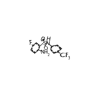 Nc1ccc(F)cc1S(=O)(=O)Nc1ccc(C(F)(F)F)cc1